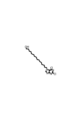 OCCCCCCCCCCCCCCCCn1cnc2nc(Cl)nc(Cl)c21